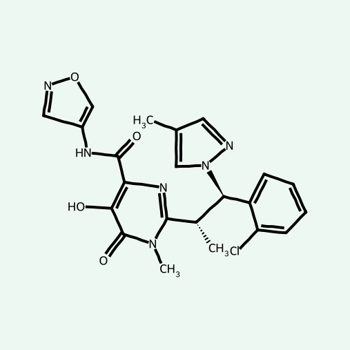 Cc1cnn([C@@H](c2ccccc2Cl)[C@H](C)c2nc(C(=O)Nc3cnoc3)c(O)c(=O)n2C)c1